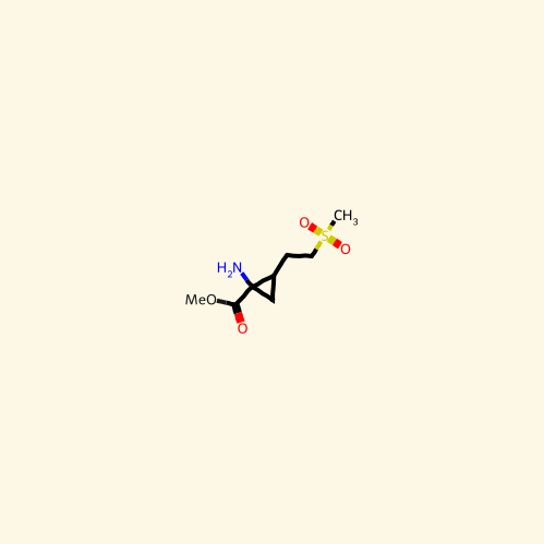 COC(=O)C1(N)CC1CCS(C)(=O)=O